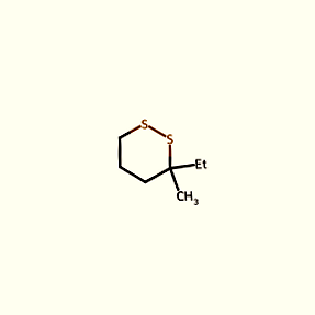 CCC1(C)CCCSS1